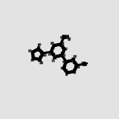 Nc1cc(-c2cccc(Br)n2)nc(-c2nccs2)c1